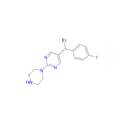 CCC(c1ccc(F)cc1)c1cnc(N2CCNCC2)nc1